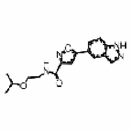 CC(C)OCCNC(=O)c1cc(-c2ccc3[nH]ncc3c2)on1